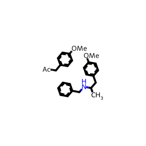 COc1ccc(CC(C)=O)cc1.COc1ccc(CC(C)NCc2ccccc2)cc1